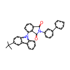 CC(C)(C)c1ccc2c(c1)c1ccccc1n2-c1cccc2c1C(=O)N(c1cccc(-c3ccccc3)c1)C2=O